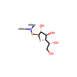 CCCCCCN(CCCCCC)S[C@@H]1S[C@@H]([C@H](O)CO)[C@H](O)[C@H]1O